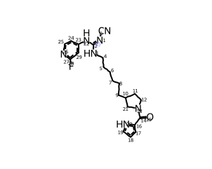 N#C/N=C(/NCCCCCCC1CCN(C(=O)c2ccc[nH]2)C1)Nc1ccnc(F)c1